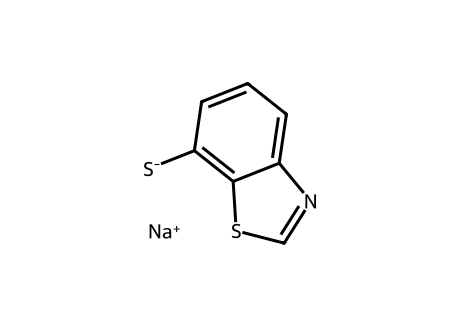 [Na+].[S-]c1cccc2ncsc12